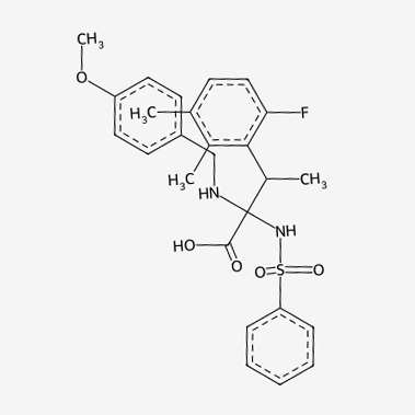 COc1ccc(CNC(NS(=O)(=O)c2ccccc2)(C(=O)O)C(C)c2c(F)ccc(C)c2C)cc1